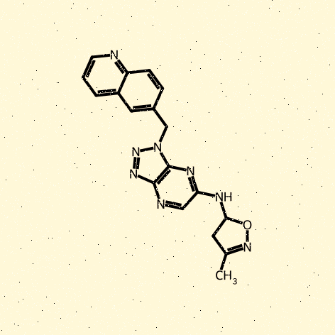 CC1=NOC(Nc2cnc3nnn(Cc4ccc5ncccc5c4)c3n2)C1